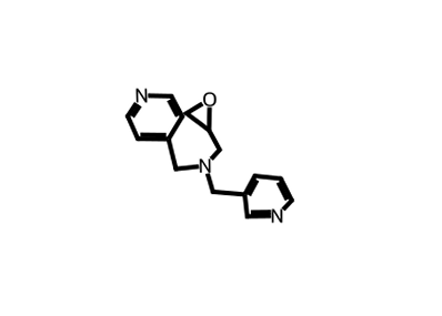 c1cncc(CN(Cc2ccncc2)CC2CO2)c1